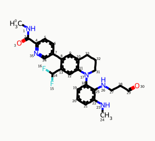 CNC(=O)c1ccc(-c2cc3c(cc2C(F)F)N(c2cccc(NC)c2NCCC=O)CCC3)cn1